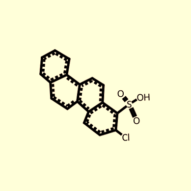 O=S(=O)(O)c1c(Cl)ccc2c1ccc1c3ccccc3ccc21